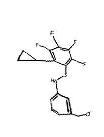 Fc1c(F)c(F)c(SNc2cccc(Cl)c2)c(CC2CC2)c1F